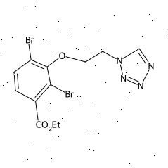 CCOC(=O)c1ccc(Br)c(OCCn2cnnn2)c1Br